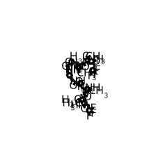 C[C@@H]1CN(CC(=O)N2CC(C)(C)c3[nH]c(=O)c(Cc4ccc(F)c(F)c4F)cc32)[C@@H](CN2CCO[C@H](C(=O)NCc3ccc(CNC(=O)[C@@H]4CN(C[C@H]5CN[C@H](C)CN5CC(=O)N5CC(C)(C)c6[nH]c(=O)c(Cc7ccc(F)c(F)c7F)cc65)CCO4)cc3)C2)CN1